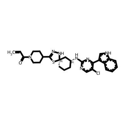 C=CC(=O)N1CCC(C2=NN[C@]3(CCC[C@@H](Nc4ncc(Cl)c(-c5c[nH]c6ccccc56)n4)C3)S2)CC1